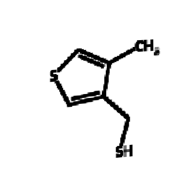 Cc1cscc1CS